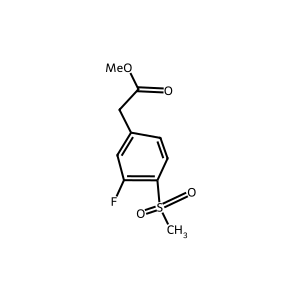 COC(=O)Cc1ccc(S(C)(=O)=O)c(F)c1